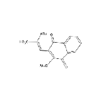 CCCC/C(=C\C1=C(OC)C(=O)c2ccccc2C1=O)C(=O)O